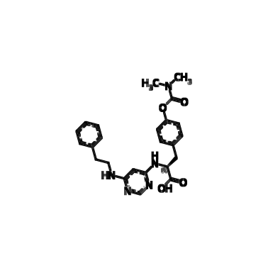 CN(C)C(=O)Oc1ccc(C[C@H](Nc2cc(NCCc3ccccc3)ncn2)C(=O)O)cc1